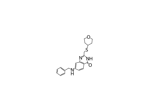 O=c1[nH]c(CSC2CCOCC2)nc2cc(NCc3ccccc3)ccc12